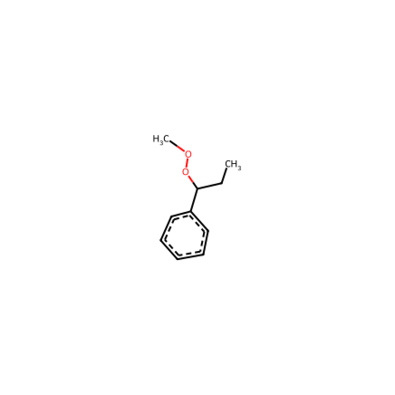 CCC(OOC)c1ccccc1